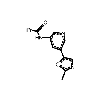 Cc1ncc(-c2cncc(NC(=O)C(C)C)c2)o1